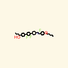 C=CCCCOc1ccc(/C=C/C2CCC(c3ccc(-c4ccc(C(O)CCC)cc4)c(F)c3F)CC2)c(F)c1